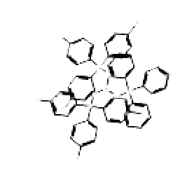 Fc1ccc([Si]([O][V]([O][Si](c2ccccc2)(c2ccccc2)c2ccccc2)[O][Si](c2ccc(F)cc2)(c2ccc(F)cc2)c2ccc(F)cc2)(c2ccc(F)cc2)c2ccc(F)cc2)cc1